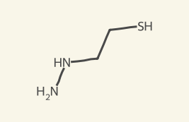 NNCCS